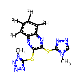 [2H]c1c([2H])c([2H])c2nc(Sc3nnnn3C)c(Sc3nncn3C)nc2c1[2H]